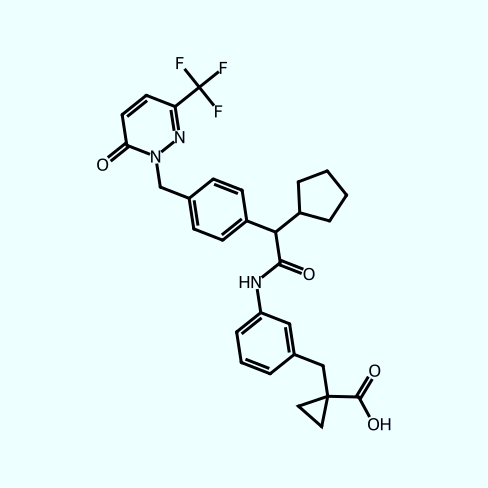 O=C(Nc1cccc(CC2(C(=O)O)CC2)c1)C(c1ccc(Cn2nc(C(F)(F)F)ccc2=O)cc1)C1CCCC1